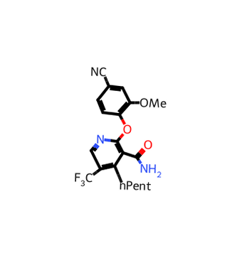 CCCCCc1c(C(F)(F)F)cnc(Oc2ccc(C#N)cc2OC)c1C(N)=O